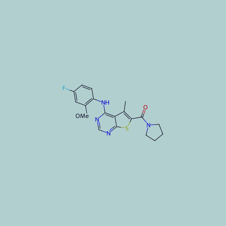 COc1cc(F)ccc1Nc1ncnc2sc(C(=O)N3CCCC3)c(C)c12